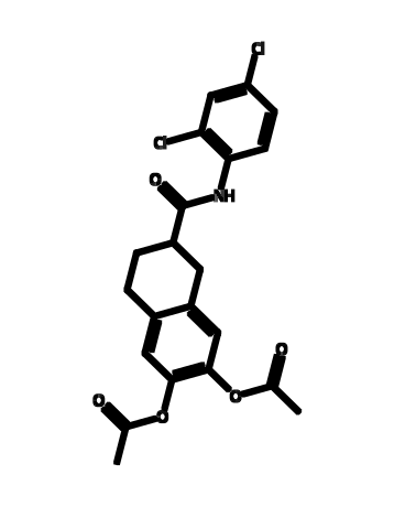 CC(=O)Oc1cc2c(cc1OC(C)=O)CC(C(=O)Nc1ccc(Cl)cc1Cl)CC2